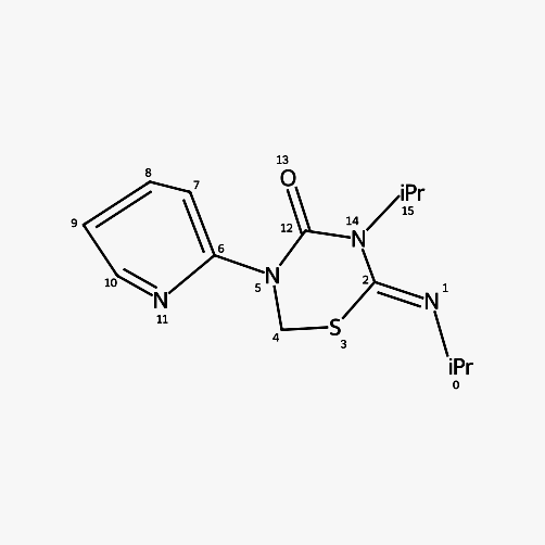 CC(C)N=C1SCN(c2ccccn2)C(=O)N1C(C)C